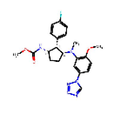 COC(=O)N[C@H]1CC[C@H](N(C)c2cc(-n3cnnn3)ccc2OC)[C@H]1c1ccc(F)cc1